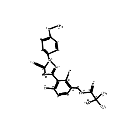 COc1ccc(-n2nc(-c3c(Cl)ccc(CNC(=O)C(C)(C)C)c3F)[nH]c2=O)cc1